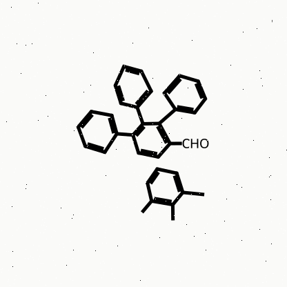 Cc1cccc(C)c1C.O=Cc1ccc(-c2ccccc2)c(-c2ccccc2)c1-c1ccccc1